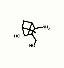 CC1(C)C2CC(CO)C(N)C1C2.Cl